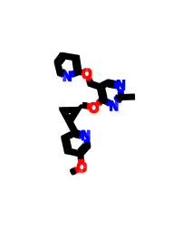 COc1ccc(C2C[C@@H]2COc2nc(C)ncc2COc2ccccn2)nc1